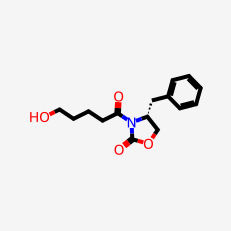 O=C(CCCCO)N1C(=O)OC[C@H]1Cc1ccccc1